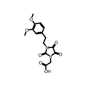 COc1ccc(CCN2C(=O)C(=O)N(CC(=O)O)C2=O)cc1OC